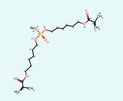 C=C(C)C(=O)OCCCCCCOP(=O)([O-])OCCCCCCOC(=O)C(=C)C.[Na+]